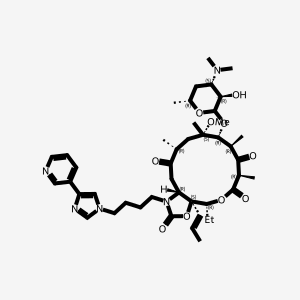 CC=C[C@]12OC(=O)N(CCCCn3cnc(-c4cccnc4)c3)[C@@H]1CC(=O)[C@H](C)C[C@](C)(OC)[C@H](OC1O[C@H](C)C[C@H](N(C)C)[C@H]1O)[C@@H](C)C(=O)[C@@H](C)C(=O)O[C@@H]2CC